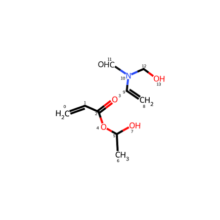 C=CC(=O)OC(C)O.C=CN(C=O)CO